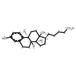 C[C@]12CC[C@@H]3c4ccc(O)cc4CC[C@H]3[C@@H]1CC[C@@H]2CCCCC(=O)O